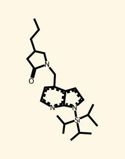 CCCC1CC(=O)N(Cc2ccnc3c2ccn3[Si](C(C)C)(C(C)C)C(C)C)C1